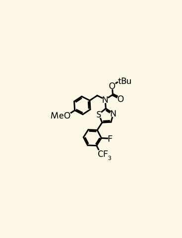 COc1ccc(CN(C(=O)OC(C)(C)C)c2ncc(-c3cccc(C(F)(F)F)c3F)s2)cc1